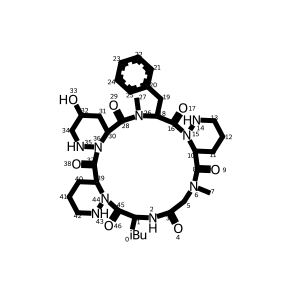 CCC(C)C1NC(=O)CN(C)C(=O)C2CCCNN2C(=O)C(Cc2ccccc2)N(C)C(=O)C2CC(O)CNN2C(=O)C2CCCNN2C1=O